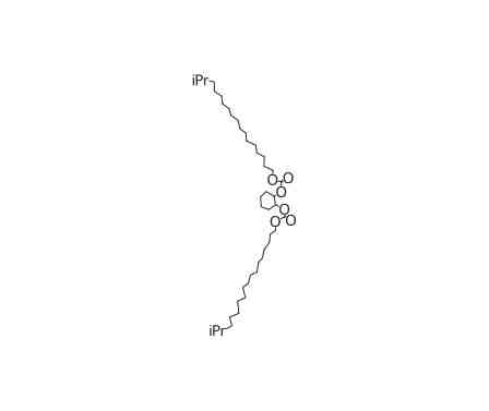 CC(C)CCCCCCCCCCCCCCCOC(=O)OC1CCCCC1OC(=O)OCCCCCCCCCCCCCCCC(C)C